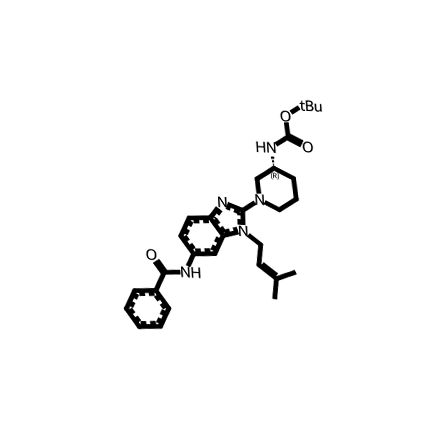 CC(C)=CCn1c(N2CCC[C@@H](NC(=O)OC(C)(C)C)C2)nc2ccc(NC(=O)c3ccccc3)cc21